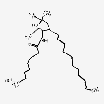 CCCCCCCCCCCC(CC(C)(C)N)C(CC)NC(=O)CCCCCC.Cl